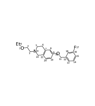 CCOCCN1CCc2cc(OCc3cccc(F)c3)ccc2C1